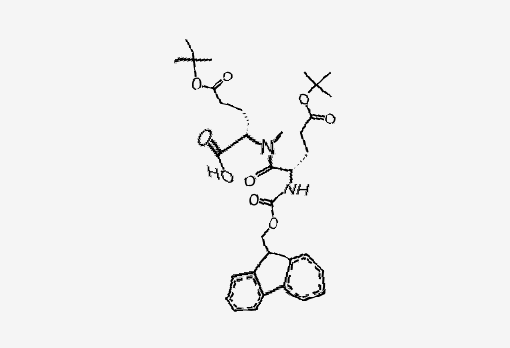 CN(C(=O)[C@H](CCC(=O)OC(C)(C)C)NC(=O)OCC1c2ccccc2-c2ccccc21)[C@@H](CCC(=O)OC(C)(C)C)C(=O)O